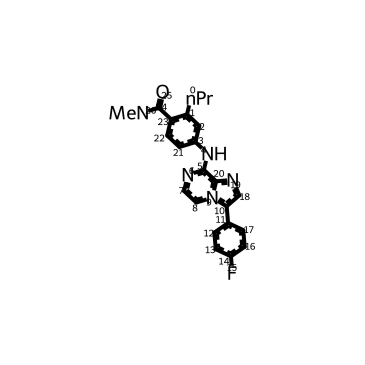 CCCc1cc(Nc2nccn3c(-c4ccc(F)cc4)cnc23)ccc1C(=O)NC